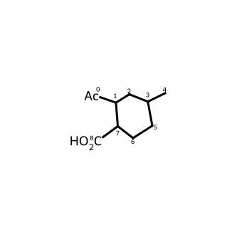 CC(=O)C1CC(C)CCC1C(=O)O